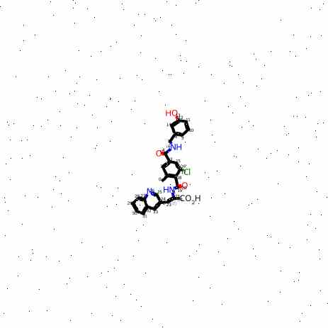 Cc1cc(C(=O)NCc2cccc(O)c2)cc(Cl)c1C(=O)N/C(=C\c1cnc2ccccc2c1)C(=O)O